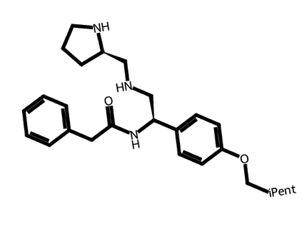 CCCC(C)COc1ccc([C@H](CNC[C@H]2CCCN2)NC(=O)Cc2ccccc2)cc1